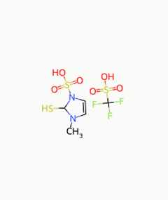 CN1C=CN(S(=O)(=O)O)C1S.O=S(=O)(O)C(F)(F)F